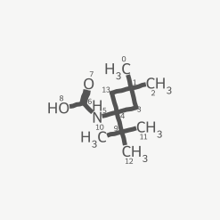 CC1(C)CC(NC(=O)O)(C(C)(C)C)C1